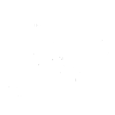 COC(=O)c1ccc([C@H]2C[C@@H](NC(=O)C3C(c4ccc5c(c4)OCO5)C3(F)F)c3ccc(O)cc3O2)cc1